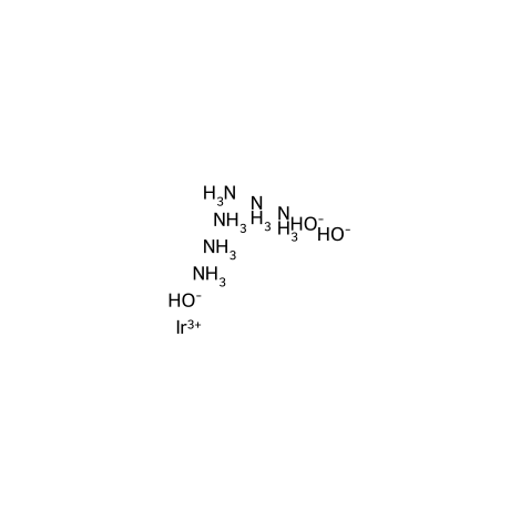 N.N.N.N.N.N.[Ir+3].[OH-].[OH-].[OH-]